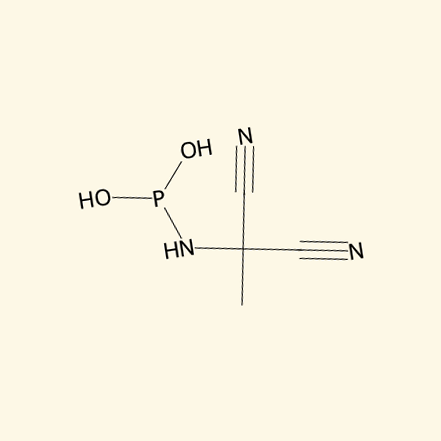 CC(C#N)(C#N)NP(O)O